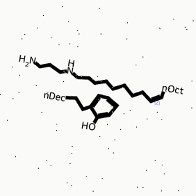 CCCCCCCC/C=C\CCCCCCCCNCCCN.CCCCCCCCCCCCc1ccccc1O